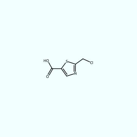 O=C(O)c1cnc(CCl)s1